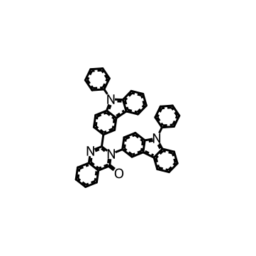 O=c1c2ccccc2nc(-c2ccc3c(c2)c2ccccc2n3-c2ccccc2)n1-c1ccc2c(c1)c1ccccc1n2-c1ccccc1